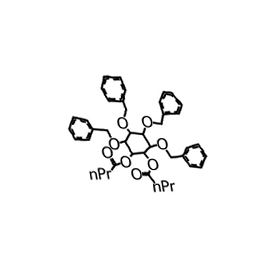 CCCC(=O)OC1C(OCc2ccccc2)C(OCc2ccccc2)C(OCc2ccccc2)C(OCc2ccccc2)C1OC(=O)CCC